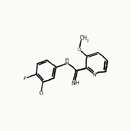 COc1cccnc1C(=N)Nc1ccc(F)c(Cl)c1